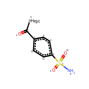 CCCCCCCC(=O)c1ccc(S(N)(=O)=O)cc1